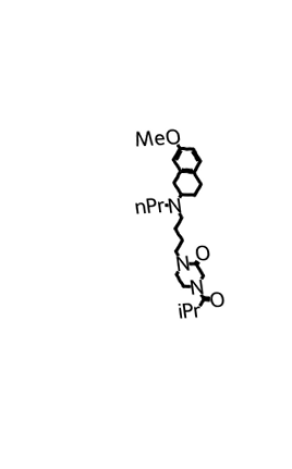 CCCN(CCCCN1CCN(C(=O)C(C)C)CC1=O)C1CCc2ccc(OC)cc2C1